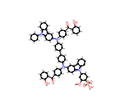 COc1cc(-n2c3ccccc3c3cc(N(c4ccc(C(=O)c5ccccc5O)cc4)c4ccc(-c5ccc(N(c6ccc(C(=O)c7ccccc7O)cc6)c6ccc7c(c6)c6ccccc6n7-c6ccccc6)cc5)cc4)ccc32)ccc1S(=O)(=O)O